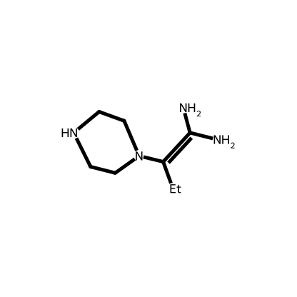 CCC(=C(N)N)N1CCNCC1